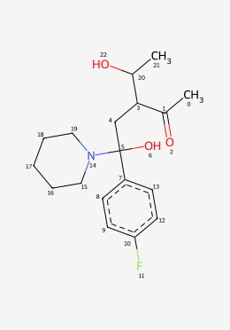 CC(=O)C(CC(O)(c1ccc(F)cc1)N1CCCCC1)C(C)O